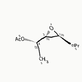 CCC[C@@H]1O[C@H]1[C@H](C)OC(C)=O